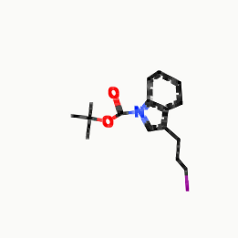 CC(C)(C)OC(=O)n1cc(CCCI)c2ccccc21